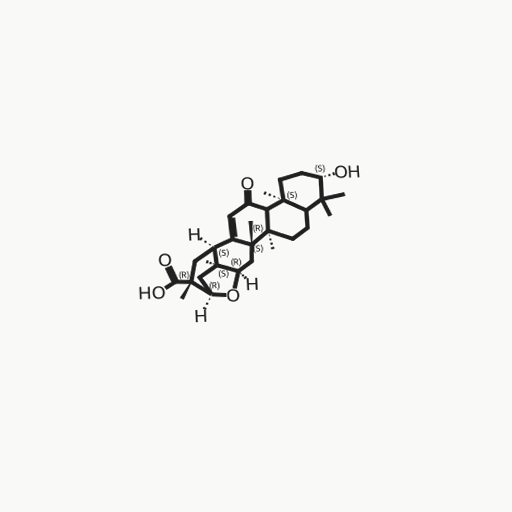 CC1(C)C2CC[C@]3(C)C(C(=O)C=C4[C@@H]5C[C@@](C)(C(=O)O)[C@H]6C[C@]5(C)[C@@H](C[C@]43C)O6)[C@@]2(C)CC[C@@H]1O